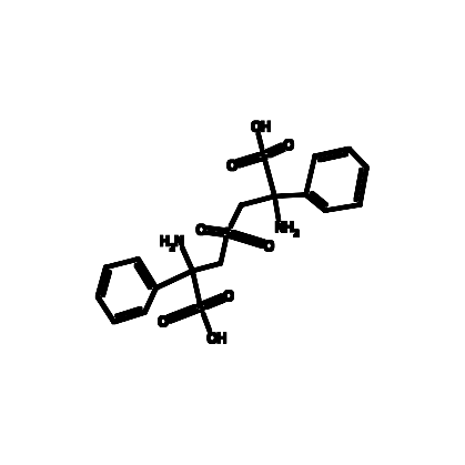 NC(CS(=O)(=O)CC(N)(c1ccccc1)S(=O)(=O)O)(c1ccccc1)S(=O)(=O)O